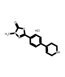 Cl.Cn1nc(-c2ccc(C3=CCNCC3)cc2)oc1=O